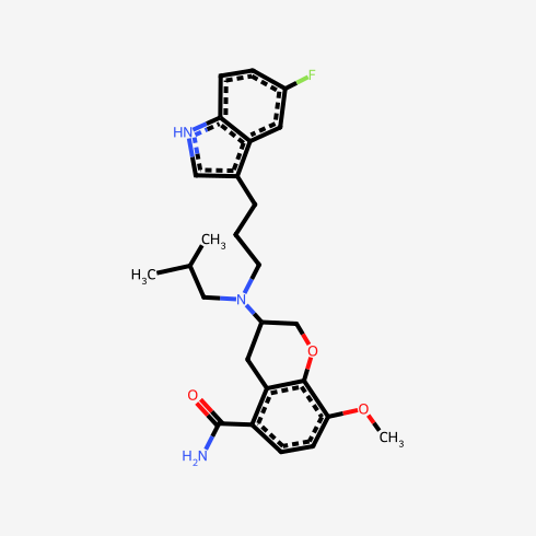 COc1ccc(C(N)=O)c2c1OCC(N(CCCc1c[nH]c3ccc(F)cc13)CC(C)C)C2